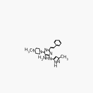 Cc1cc(Nc2nc(C=Cc3ccccc3)nc(N3CCN(C)CC3)c2N)[nH]n1